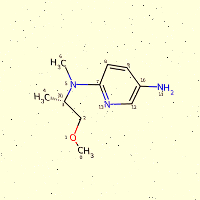 COC[C@H](C)N(C)c1ccc(N)cn1